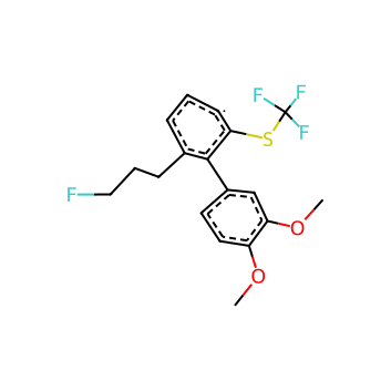 COc1ccc(-c2c(SC(F)(F)F)[c]ccc2CCCF)cc1OC